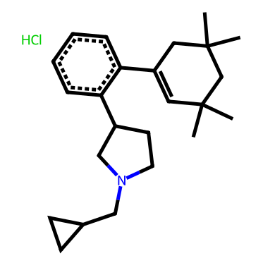 CC1(C)C=C(c2ccccc2C2CCN(CC3CC3)C2)CC(C)(C)C1.Cl